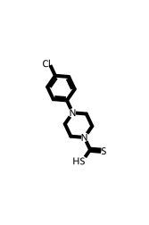 S=C(S)N1CCN(c2ccc(Cl)cc2)CC1